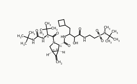 C=C1[C@H]2[C@@H]1CN(C(=O)[C@@H](NC(=O)NC(C)(C)C)C(C)(C)C)[C@@H]2C(=O)NC(CC1CCC1)C(O)C(=O)NCCS(=O)(=O)N(C)C(C)(C)C